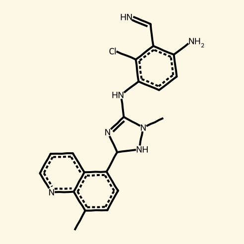 Cc1ccc(C2N=C(Nc3ccc(N)c(C=N)c3Cl)N(C)N2)c2cccnc12